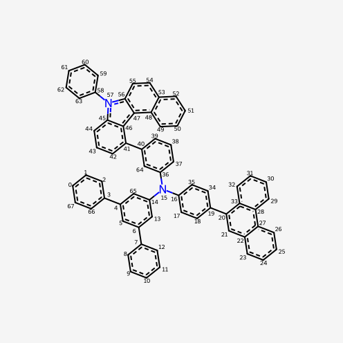 c1ccc(-c2cc(-c3ccccc3)cc(N(c3ccc(-c4cc5ccccc5c5ccccc45)cc3)c3cccc(-c4cccc5c4c4c6ccccc6ccc4n5-c4ccccc4)c3)c2)cc1